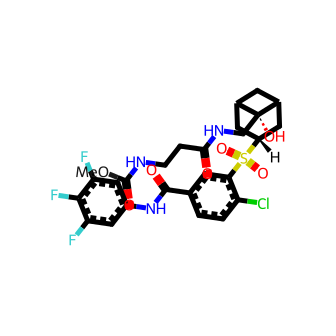 COC(=O)NCCC(=O)NC[C@]1(O)C2CC1C[C@@H](S(=O)(=O)c1cc(C(=O)Nc3cc(F)c(F)c(F)c3)ccc1Cl)C2